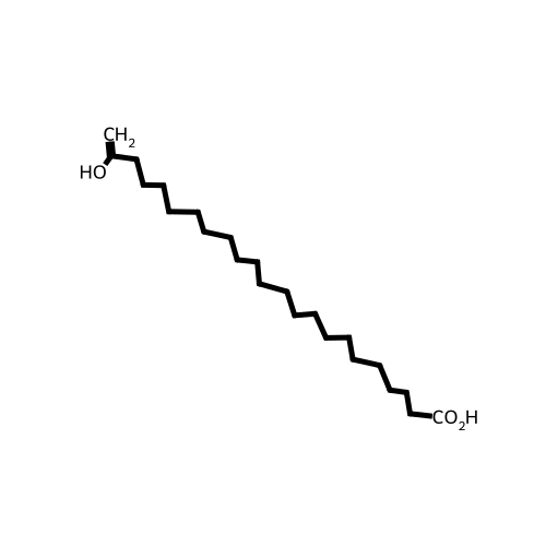 C=C(O)CCCCCCCCCCCCCCCCCCCCC(=O)O